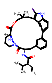 CC[C@H](C(=O)N[C@H]1Cc2cccc(c2)-c2ccc3[nH]c(I)c(c3c2)CC(C)(C)COC(=O)[C@@H]2CCCN(N2)C1=O)C(C)C